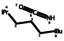 CCC(C)CCCC(C)C.N=C=O